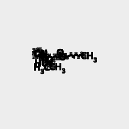 CCCCCCCCOC(=O)CCc1cc(C(C)C)c(O)c(-n2nc3ccccc3n2)c1